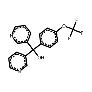 OC(c1ccc(OC(F)(F)F)cc1)(c1cccnc1)c1cccnc1